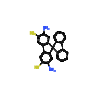 Nc1cc2c(cc1S)-c1cc(S)c(N)cc1C21c2ccccc2-c2ccccc21